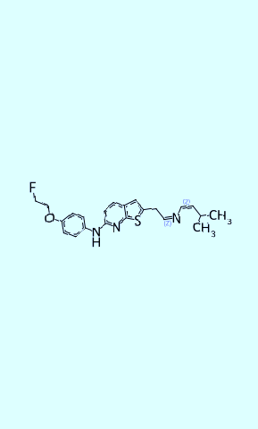 CC(C)/C=C\N=C/Cc1cc2ccc(Nc3ccc(OCCF)cc3)nc2s1